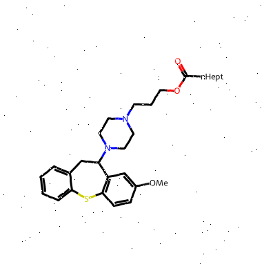 CCCCCCCC(=O)OCCCN1CCN(C2Cc3ccccc3Sc3ccc(OC)cc32)CC1